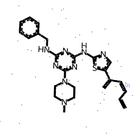 C=C/C=C\C(=C)c1cnc(Nc2nc(NCc3ccccc3)nc(N3CCN(C)CC3)n2)s1